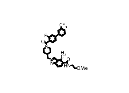 COCCNC(=O)c1ccc2nn(CC3CCN(C(=O)c4ccc(-c5cccc(C(F)(F)F)c5)cc4F)CC3)cc2c1C